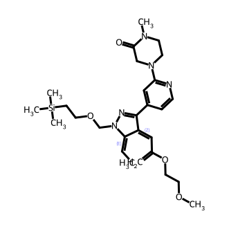 C=C(/C=c1/c(-c2ccnc(N3CCN(C)C(=O)C3)c2)nn(COCC[Si](C)(C)C)/c1=C/C)OCCOC